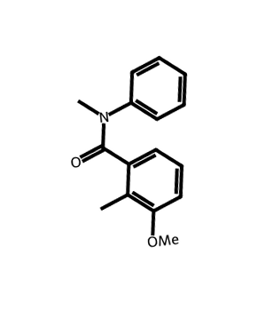 COc1cccc(C(=O)N(C)c2ccccc2)c1C